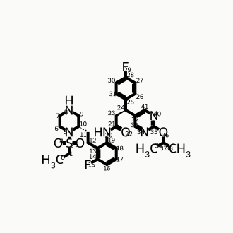 CCS(=O)(=O)N1CCNC[C@@H]1CCc1c(F)cccc1NC(=O)C[C@@H](c1ccc(F)cc1)c1cnc(OC(C)C)nc1